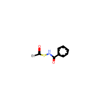 CCC(=O)SNC(=O)c1ccccc1